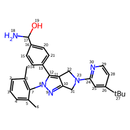 Cc1cccc(C)c1-n1nc2c(c1-c1ccc(C(N)O)cc1)CN(c1cc(C(C)(C)C)ccn1)C2